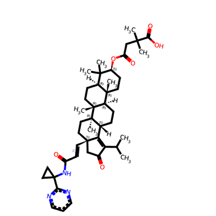 CC(C)C1=C2[C@H]3CC[C@@H]4[C@@]5(C)CC[C@H](OC(=O)CC(C)(C)C(=O)O)C(C)(C)[C@@H]5CC[C@@]4(C)[C@]3(C)CC[C@@]2(/C=C/C(=O)NC2(c3ncccn3)CC2)CC1=O